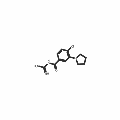 N=C(N)NC(=O)c1ccc(Cl)c(N2CCCC2)c1